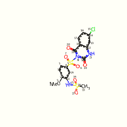 COc1ccc(S(=O)(=O)n2c(=O)[nH]c3cc(Cl)ccc3c2=O)cc1NS(C)(=O)=O